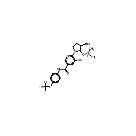 C[SiH](C)OC1C(C(C)(C)C)CCN1c1ncc(C(=O)Nc2ccc(OC(F)(F)Cl)cc2)cc1Br